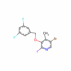 Cc1c(Br)cnc(I)c1OCc1cc(F)cc(F)c1